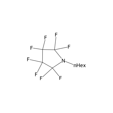 CCCCCCN1C(F)(F)C(F)(F)C(F)(F)C1(F)F